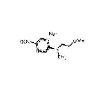 COCCN(C)c1cnc(C(=O)[O-])cn1.[Na+]